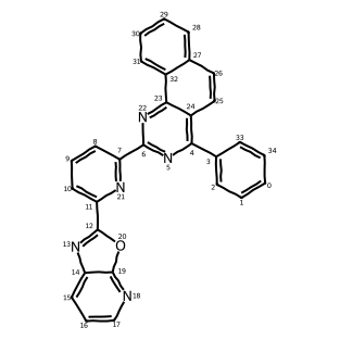 c1ccc(-c2nc(-c3cccc(-c4nc5cccnc5o4)n3)nc3c2ccc2ccccc23)cc1